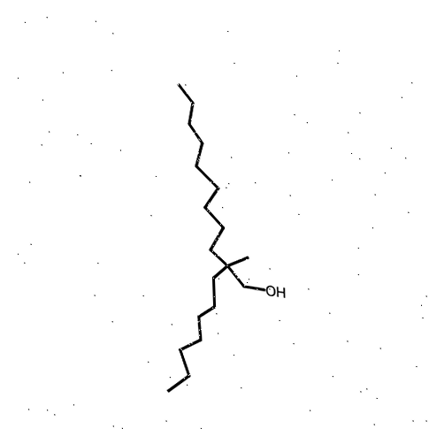 CCCCCCCCCC(C)(CO)CCCCCCC